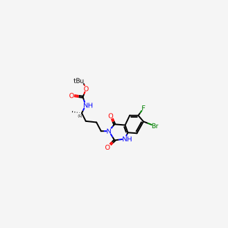 C[C@@H](CCCn1c(=O)[nH]c2cc(Br)c(F)cc2c1=O)NC(=O)OC(C)(C)C